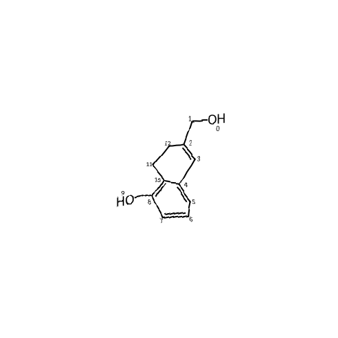 OCC1=Cc2cccc(O)c2CC1